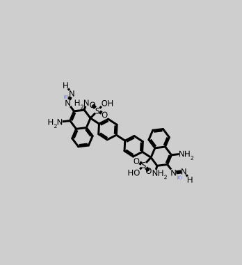 [H]/N=N/C1=C(N)c2ccccc2C(c2ccc(-c3ccc(C4(S(=O)(=O)O)c5ccccc5C(N)=C(/N=N/[H])C4N)cc3)cc2)(S(=O)(=O)O)C1N